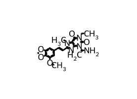 C=C(N)n1c(=O)n(CC)c(=O)c2c1nc(/C=C/c1cc(OC)c3c(c1)OCO3)n2C